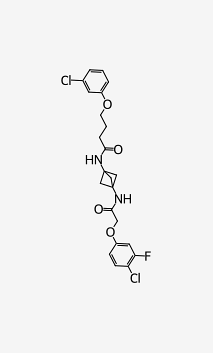 O=C(CCCOc1cccc(Cl)c1)NC12CC(NC(=O)COc3ccc(Cl)c(F)c3)(C1)C2